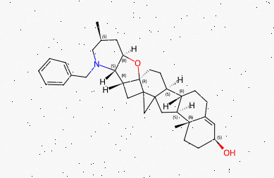 C[C@H]1C[C@H]2O[C@@]34CC[C@H]5[C@@H]6CCC7=C[C@@H](O)CC[C@]7(C)[C@H]6CC56CC63C[C@@H]4[C@@H]2N(Cc2ccccc2)C1